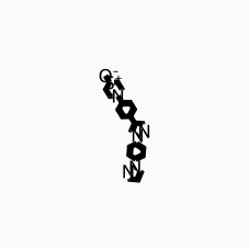 [O-][S+]1CCN(c2ccc(-c3cnn(-c4ccc(-n5cccn5)cc4)c3)cc2)CC1